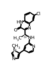 C[C@H](Nc1cc(-c2cncn2C)ccn1)c1nc2cc(Cl)ccc2[nH]c1=O